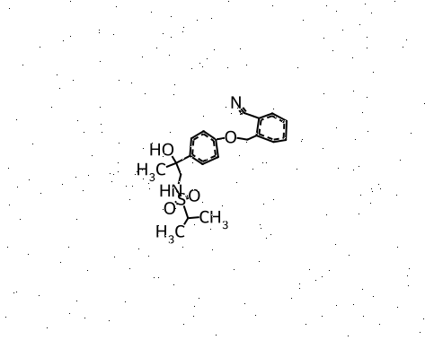 CC(C)S(=O)(=O)NCC(C)(O)c1ccc(OCc2ccccc2C#N)cc1